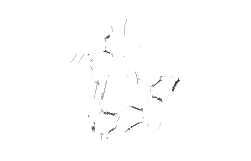 C=CC(=O)NC1CN(c2ncnc3cc(Cl)c(-c4ccccc4Cl)cc23)C1